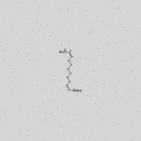 CCCCCC/C=C\CCCCCC/C=C\OC(C)=O